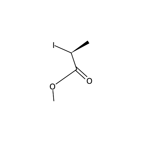 COC(=O)[C@H](C)I